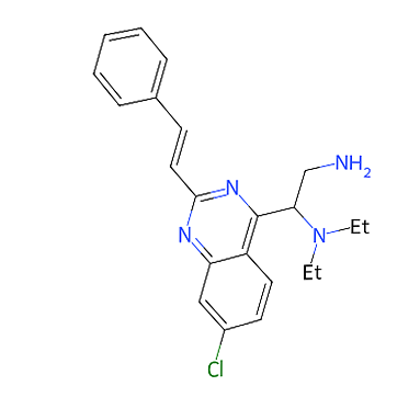 CCN(CC)C(CN)c1nc(C=Cc2ccccc2)nc2cc(Cl)ccc12